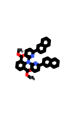 COC(=O)c1cccc(C(=O)OC)c1N(c1cccc(-c2ccc3ccccc3c2)n1)c1cccc(-c2ccc3ccccc3c2)n1